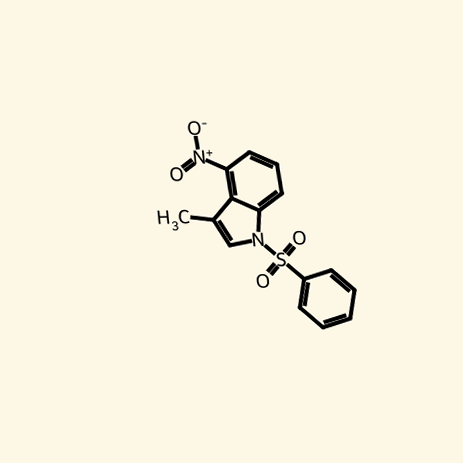 Cc1cn(S(=O)(=O)c2ccccc2)c2cccc([N+](=O)[O-])c12